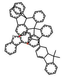 CC1(C)c2ccccc2C2=CC=C(N(c3ccc4oc5ccccc5c4c3)c3ccccc3C3(c4ccccc4)c4ccccc4C4(c5ccccc5)c5ccccc5-c5cccc3c54)CC21